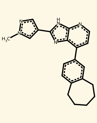 Cn1cc(-c2nc3c(-c4ccc5c(c4)CCCCC5)ccnc3[nH]2)cn1